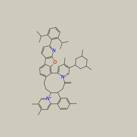 C=C1CC2c3cc(C)ccc3-c3cc(C)c(C)c[n+]3C2CCc2ccc3c(oc4nc(-c5c(C(C)C)cccc5C(C)C)ccc43)c2-c2cc(C)c(C3CC(C)CC(C)C3)c[n+]21